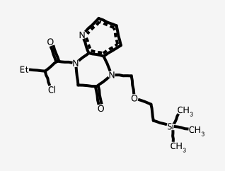 CCC(Cl)C(=O)N1CC(=O)N(COCC[Si](C)(C)C)c2cccnc21